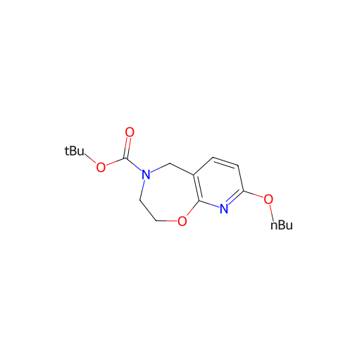 CCCCOc1ccc2c(n1)OCCN(C(=O)OC(C)(C)C)C2